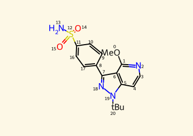 COc1nccc2c1c(-c1ccc(S(N)(=O)=O)cc1)nn2C(C)(C)C